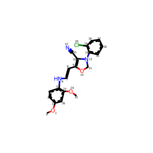 COc1ccc(NC=CC2=C(C#N)N(c3ccccc3Cl)CO2)c(OC)c1